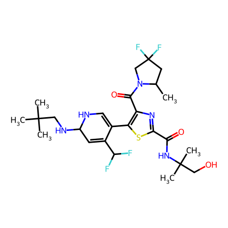 CC1CC(F)(F)CN1C(=O)c1nc(C(=O)NC(C)(C)CO)sc1C1=CNC(NCC(C)(C)C)C=C1C(F)F